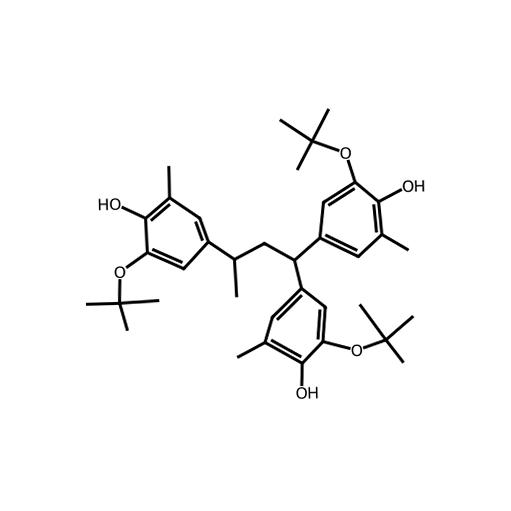 Cc1cc(C(C)CC(c2cc(C)c(O)c(OC(C)(C)C)c2)c2cc(C)c(O)c(OC(C)(C)C)c2)cc(OC(C)(C)C)c1O